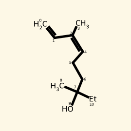 C=CC(C)=CCCC(C)(O)CC